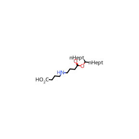 CCCCCCCC(CCCCCCC)OC(=O)CCCNCCCC(=O)O